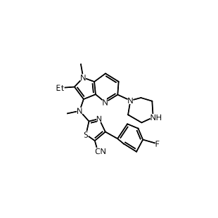 CCc1c(N(C)c2nc(-c3ccc(F)cc3)c(C#N)s2)c2nc(N3CCNCC3)ccc2n1C